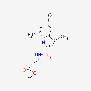 Cc1cc(C(=O)NCCC2OCCO2)nc2c(C(F)(F)F)cc(C3CC3)cc12